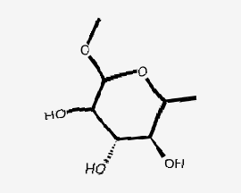 COC1OC(C)[C@@H](O)[C@H](O)C1O